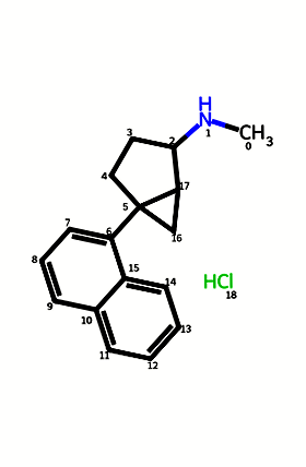 CNC1CCC2(c3cccc4ccccc34)CC12.Cl